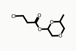 CC1COCC(OC(=O)CCCl)O1